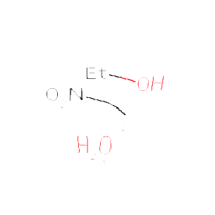 CCO.C[N+](=O)[O-].O